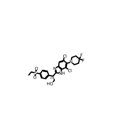 CCS(=O)(=O)c1ccc([C@H](CO)c2nc3cc(Cl)c(N4CCC(F)(F)CC4)c(Cl)c3[nH]2)cc1